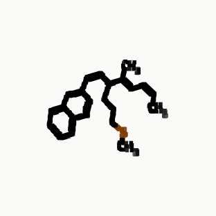 C/C=C\C=C(/C)C(/C=C\c1ccc2ccccc2c1)CCCSC